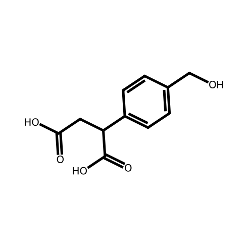 O=C(O)CC(C(=O)O)c1ccc(CO)cc1